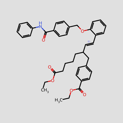 CCOC(=O)CCCCC(/C=C/c1ccccc1OCc1ccc(C(=O)Nc2ccccc2)cc1)Cc1ccc(C(=O)OCC)cc1